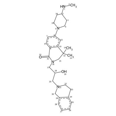 CNC1CCN(c2ccc3c(c2)C(C)(C)CN(CC(O)CN2CCc4ccccc4C2)C3=O)CC1